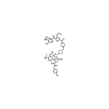 CNc1nc(Nc2ccc(C(=O)N3CCN(CC4CCC(CSC(C)(C)C(NC(=O)C5(F)CC5)C(=O)N5C[C@H](O)C[C@H]5C(=O)NCc5ccc(Cl)cc5)CC4)CC3)cc2OC)ncc1Cl